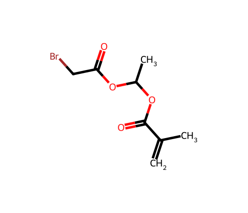 C=C(C)C(=O)OC(C)OC(=O)CBr